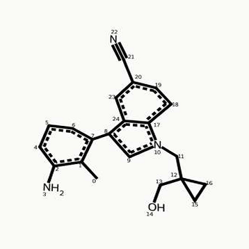 Cc1c(N)cccc1-c1cn(CC2(CO)CC2)c2ccc(C#N)cc12